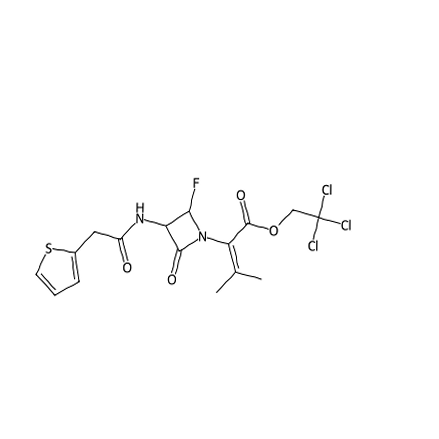 CC(C)=C(C(=O)OCC(Cl)(Cl)Cl)N1C(=O)C(NC(=O)Cc2cccs2)C1F